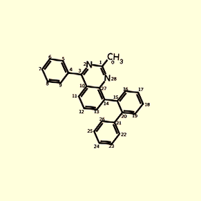 Cc1nc(-c2ccccc2)c2cccc(-c3ccccc3-c3ccccc3)c2n1